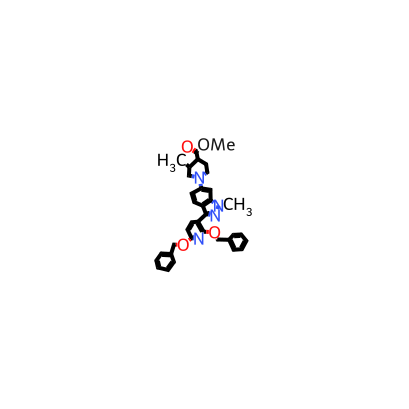 COC(=O)C1CCN(c2ccc3c(-c4ccc(OCc5ccccc5)nc4OCc4ccccc4)nn(C)c3c2)CC1C